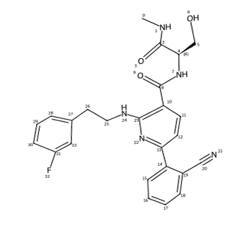 CNC(=O)[C@@H](CO)NC(=O)c1ccc(-c2ccccc2C#N)nc1NCCc1cccc(F)c1